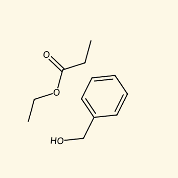 CCOC(=O)CC.OCc1ccccc1